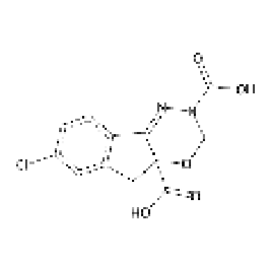 O=C(O)N1COC2(C(=O)O)Cc3cc(Cl)ccc3C2=N1